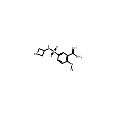 CCOc1ccc(S(=O)(=O)NC2CNC2)cc1C(=N)N